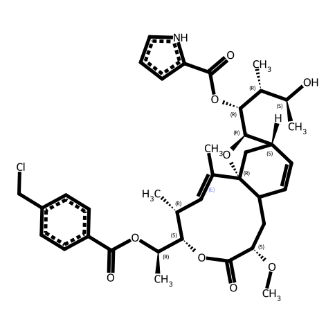 CO[C@H]1CC2C=C[C@@H]3C[C@]2(O[C@H]3[C@H](OC(=O)c2ccc[nH]2)[C@H](C)[C@H](C)O)/C(C)=C/[C@@H](C)[C@@H]([C@@H](C)OC(=O)c2ccc(CCl)cc2)OC1=O